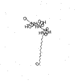 C=C(CCC(NC(=O)CC[C@H](NC(=O)CCCCCCCCCCCCCCCCC(C)=O)C(=O)O)C(=O)O)N[C@@H](CCC=O)C(=C)O